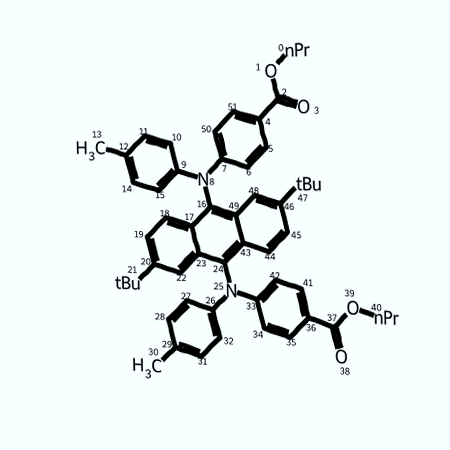 CCCOC(=O)c1ccc(N(c2ccc(C)cc2)c2c3ccc(C(C)(C)C)cc3c(N(c3ccc(C)cc3)c3ccc(C(=O)OCCC)cc3)c3ccc(C(C)(C)C)cc23)cc1